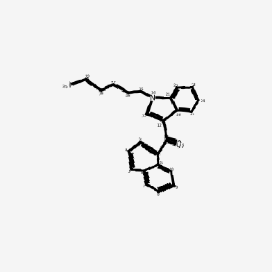 O=C(c1cccc2ccccc12)c1cn(CCCCCI)c2ccccc12